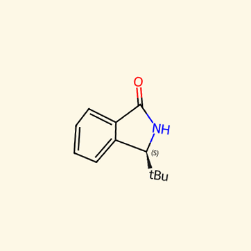 CC(C)(C)[C@@H]1NC(=O)c2ccccc21